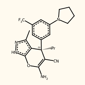 Cc1n[nH]c2c1[C@](c1cc(N3CCCC3)cc(C(F)(F)F)c1)(C(C)C)C(C#N)=C(N)O2